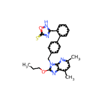 CCCOc1nc2c(C)cc(C)nc2n1Cc1ccc(-c2ccccc2-c2nc(=S)o[nH]2)cc1